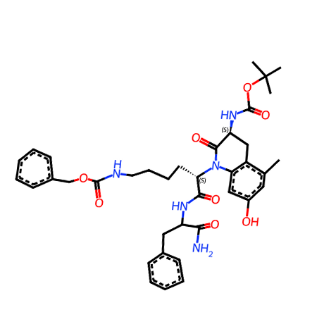 Cc1cc(O)cc2c1C[C@H](NC(=O)OC(C)(C)C)C(=O)N2[C@@H](CCCCNC(=O)OCc1ccccc1)C(=O)NC(Cc1ccccc1)C(N)=O